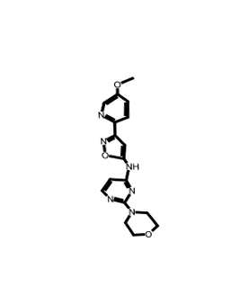 COc1ccc(-c2cc(Nc3ccnc(N4CCOCC4)n3)on2)nc1